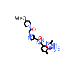 C=C(N)/N=C\C(=C/N)C(=C)/C=C\C(=C/N)c1noc(-c2cnn(CC(=O)N3CCC(OC)CC3)c2)n1